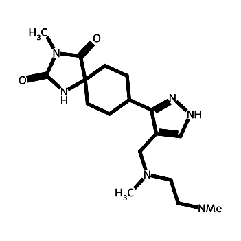 CNCCN(C)Cc1c[nH]nc1C1CCC2(CC1)NC(=O)N(C)C2=O